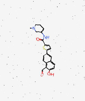 CN1CCCC(NC(=O)c2ccc(-c3ccc4c(C=O)c(O)ccc4c3)s2)C1